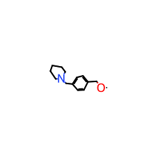 [O]Cc1ccc(CN2CCCCC2)cc1